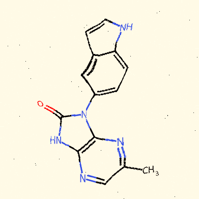 Cc1cnc2[nH]c(=O)n(-c3ccc4[nH]ccc4c3)c2n1